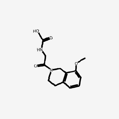 COc1cccc2c1CN(C(=O)CNC(=O)O)CC2